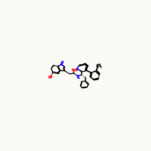 Cc1ccccc1-c1cccnc1[C@H](Cc1ccccc1)NC(O)Cc1c[nH]c2ccc(O)cc12